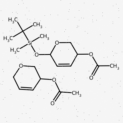 CC(=O)OC1C=CC(O[Si](C)(C)C(C)(C)C)OC1.CC(=O)OC1C=CCOC1